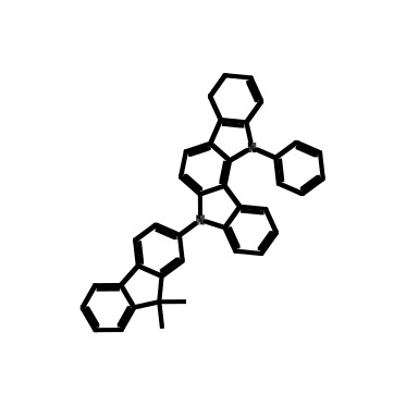 CC1(C)c2ccccc2-c2ccc(-n3c4ccccc4c4c5c(ccc43)c3c(n5-c4ccccc4)C=CCC3)cc21